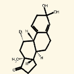 CC[C@H]1C[C@]2(C)C(=O)CC[C@H]2[C@@H]2CCC3=CC(O)(O)CC=C3[C@@H]12